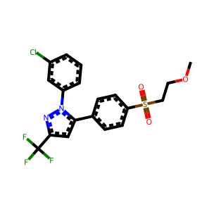 COCCS(=O)(=O)c1ccc(-c2cc(C(F)(F)F)nn2-c2cccc(Cl)c2)cc1